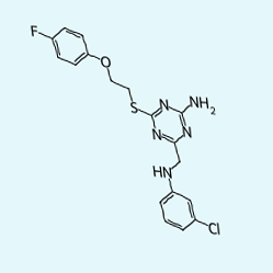 Nc1nc(CNc2cccc(Cl)c2)nc(SCCOc2ccc(F)cc2)n1